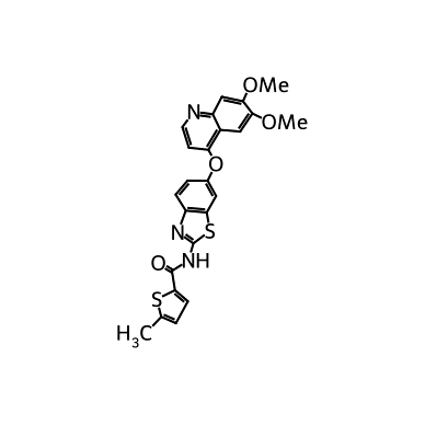 COc1cc2nccc(Oc3ccc4nc(NC(=O)c5ccc(C)s5)sc4c3)c2cc1OC